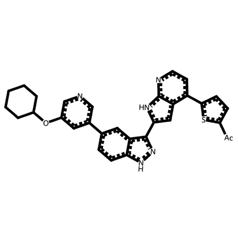 CC(=O)c1ccc(-c2ccnc3[nH]c(-c4n[nH]c5ccc(-c6cncc(OC7CCCCC7)c6)cc45)cc23)s1